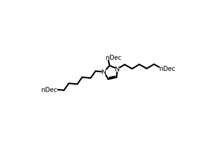 CCCCCCCCCCCCCCCCN1C=CN(CCCCCCCCCCCCCCC)C1CCCCCCCCCC